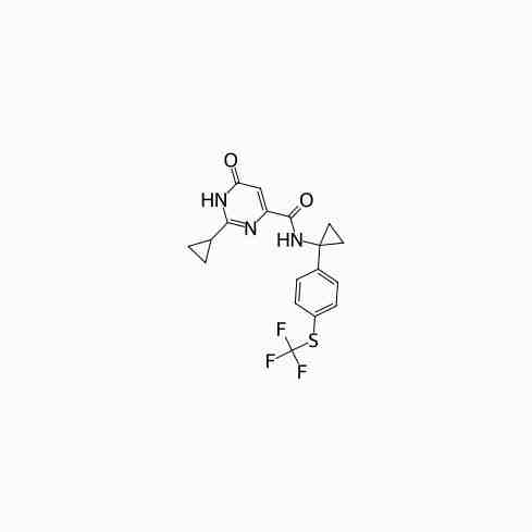 O=C(NC1(c2ccc(SC(F)(F)F)cc2)CC1)c1cc(=O)[nH]c(C2CC2)n1